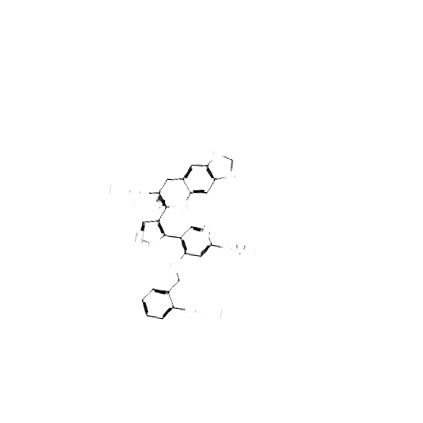 COc1cc(OCc2ccccc2C(=O)O)c(-c2oncc2C=C(Cc2cc3c(cc2OC)OCO3)C(=O)O)cn1